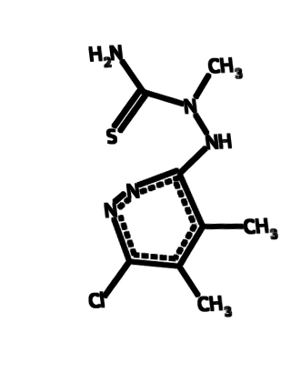 Cc1c(Cl)nnc(NN(C)C(N)=S)c1C